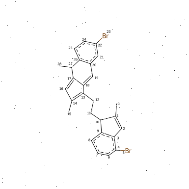 CC1=Cc2c(Br)cccc2C1CCC1=C(C)C=C2C1=Cc1cc(Br)ccc1C2C